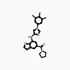 Cc1cc(-n2cnc(Nc3cc(C(=O)N4CCCC4)cc4ccoc34)c2)cc(C)c1C